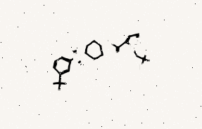 O=C(N[C@H]1CC[C@@H](S(=O)(=O)c2cccc(C(F)(F)F)c2)CC1)c1ccnn1CC(F)(F)F